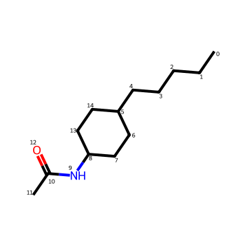 CCCCCC1CCC(NC(C)=O)CC1